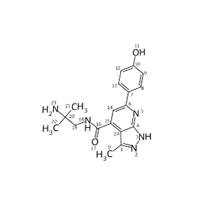 Cc1n[nH]c2nc(-c3ccc(O)cc3)cc(C(=O)NCC(C)(C)N)c12